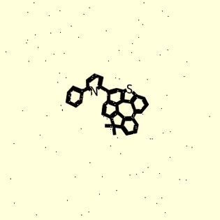 CC1(C)c2cccc3c2-c2c1ccc1c(-c4cccc(-c5ccccc5)n4)cc4sc5cccc-3c5c4c21